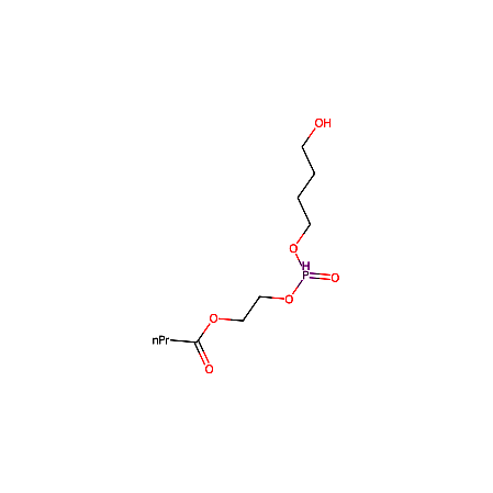 CCCC(=O)OCCO[PH](=O)OCCCCO